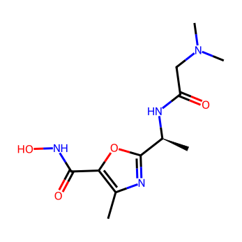 Cc1nc([C@H](C)NC(=O)CN(C)C)oc1C(=O)NO